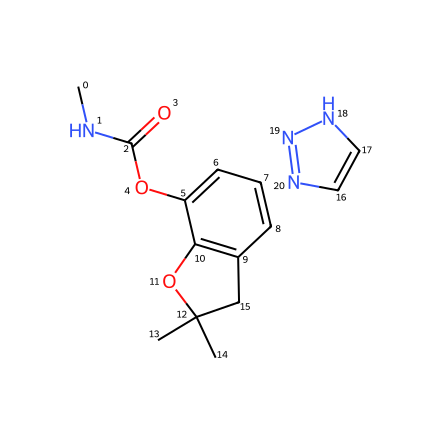 CNC(=O)Oc1cccc2c1OC(C)(C)C2.c1c[nH]nn1